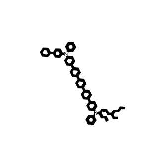 C=C/C=C(\C=C/C/C(=C/CCC)CC)N(C1=CC=C(C2=CC=C(C3=CC=C(C4=CC=C(C5=CC=C(N(c6ccccc6)c6ccc(C7=CCCC=C7)cc6)CC5)CC4)CC3)CC2)CC1)c1ccccc1